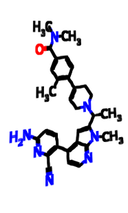 Cc1cc(C(=O)N(C)C)ccc1C1=CCN([C@@H](C)c2cc3c(-c4ccc(N)nc4C#N)ccnc3n2C)CC1